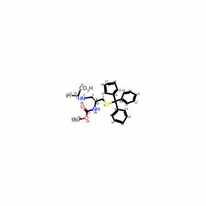 CC(C)[C@H](NC[C@@H](CSC(c1ccccc1)(c1ccccc1)c1ccccc1)NC(=O)OC(C)(C)C)C(=O)O